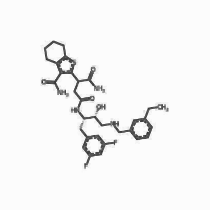 CCc1cccc(CNC[C@@H](O)[C@H](Cc2cc(F)cc(F)c2)NC(=O)CC(C(N)=O)c2sc3c(c2C(N)=O)CCCC3)c1